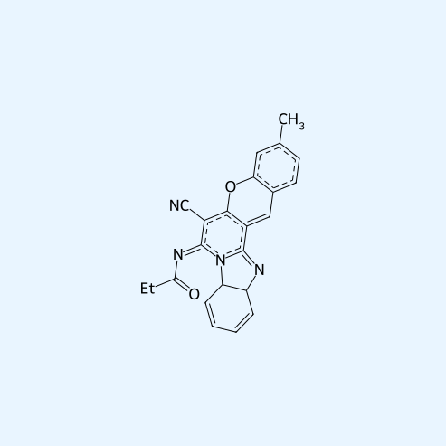 CCC(=O)/N=c1/c(C#N)c2c(c3n1C1C=CC=CC1N=3)=Cc1ccc(C)cc1O2